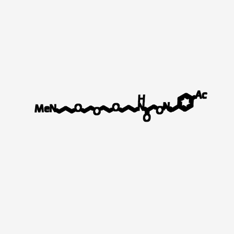 CNCCCOCCOCCOCCCNC(=O)CO/N=C/c1ccc(C(C)=O)cc1